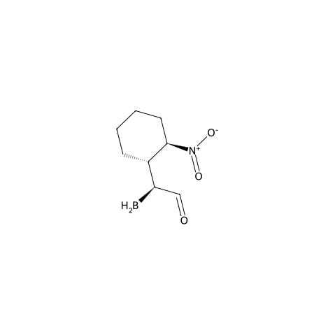 B[C@H](C=O)[C@@H]1CCCC[C@H]1[N+](=O)[O-]